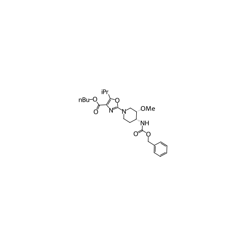 CCCCOC(=O)c1nc(N2CC[C@@H](NC(=O)OCc3ccccc3)[C@@H](OC)C2)oc1C(C)C